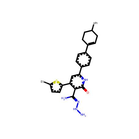 CCCC1CC=C(c2ccc(-c3cc(-c4ccc(CC)s4)c(/C(N)=N/NN)c(=O)[nH]3)cc2)CC1